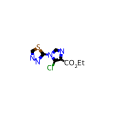 CCOC(=O)c1ncn(-c2nncs2)c1Cl